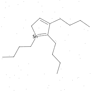 CCCCC1=C[CH2][Sn]([CH2]CCC)=[C]1CCCC